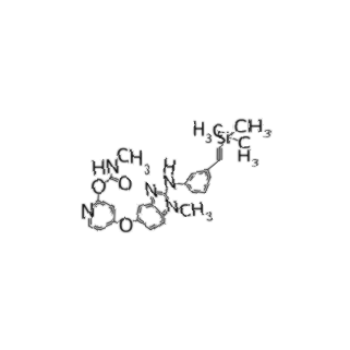 CNC(=O)Oc1cc(Oc2ccc3c(c2)nc(Nc2cccc(C#C[Si](C)(C)C)c2)n3C)ccn1